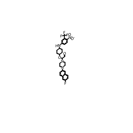 O=CC(OC1CCC(Nc2ccc([N+](=O)[O-])c(C(F)(F)F)c2)CC1)N1CCN(c2ccc3cc(F)ccc3c2)CC1